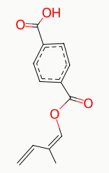 C=CC(C)=COC(=O)c1ccc(C(=O)O)cc1